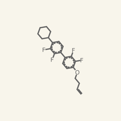 C=CCCOc1ccc(-c2ccc(C3CCCCC3)c(F)c2F)c(F)c1F